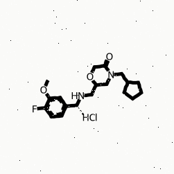 COc1cc([C@@H](C)NCC2CN(CC3CCCC3)C(=O)CO2)ccc1F.Cl